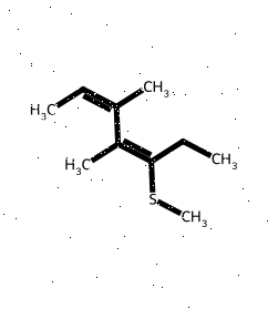 C/C=C(C)\C(C)=C(/CC)SC